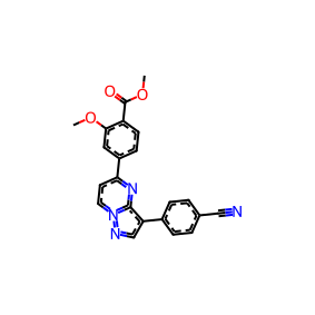 COC(=O)c1ccc(-c2ccn3ncc(-c4ccc(C#N)cc4)c3n2)cc1OC